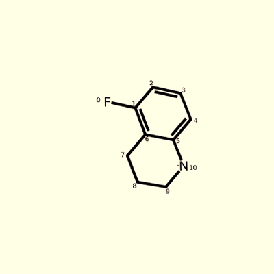 Fc1cccc2c1CCC[N]2